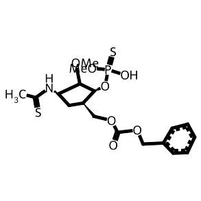 COC1[C@@H](NC(C)=S)C[C@H](COC(=O)OCc2ccccc2)[C@@H]1OP(O)(=S)OC